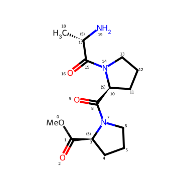 COC(=O)[C@@H]1CCCN1C(=O)[C@@H]1CCCN1C(=O)[C@H](C)N